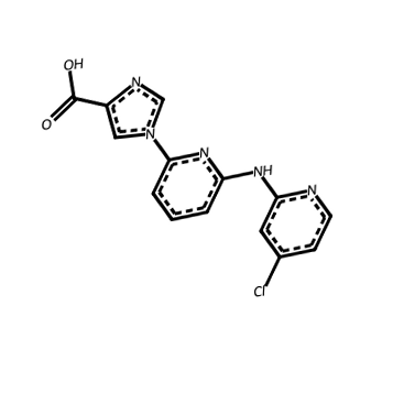 O=C(O)c1cn(-c2cccc(Nc3cc(Cl)ccn3)n2)cn1